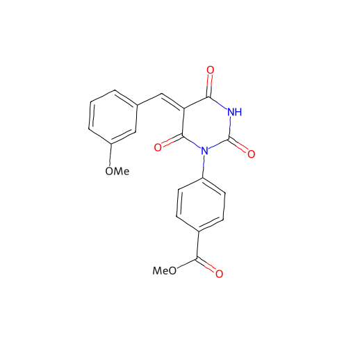 COC(=O)c1ccc(N2C(=O)NC(=O)C(=Cc3cccc(OC)c3)C2=O)cc1